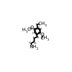 CCc1cc(OC)c(CCCCN)cc1OC